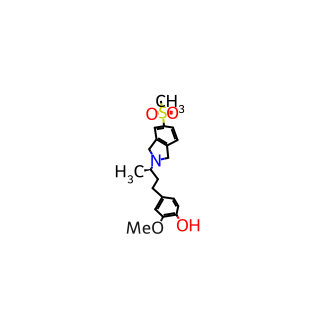 COc1cc(CC[C@@H](C)N2Cc3ccc(S(C)(=O)=O)cc3C2)ccc1O